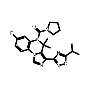 CC(C)c1nc(-c2ncn3c2C(C)(C)N(C(=O)N2CCCC2)c2cc(F)ccc2-3)no1